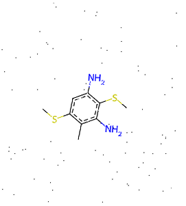 CSc1cc(N)c(SC)c(N)c1C